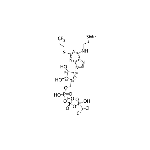 CSCCNc1nc(SCCC(F)(F)F)nc2c1ncn2[C@@H]1O[C@H](COP(=O)(O)OP(=O)(O)OP(=O)(O)C(Cl)Cl)[C@@H](O)[C@H]1O